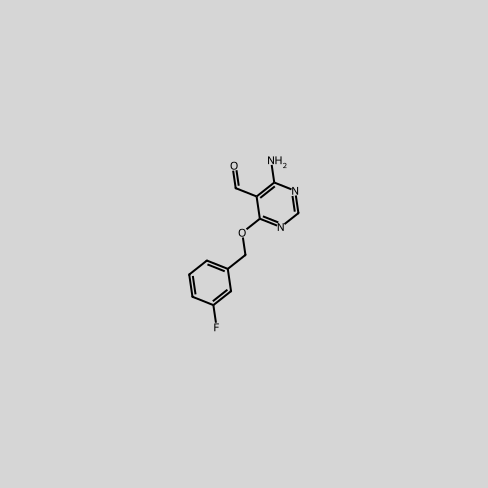 Nc1ncnc(OCc2cccc(F)c2)c1C=O